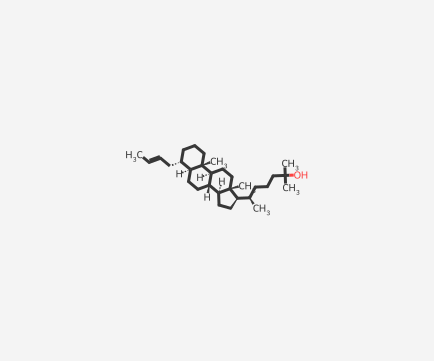 C/C=C/C[C@@H]1CCC[C@@]2(C)[C@H]1CC[C@@H]1[C@@H]2CC[C@]2(C)[C@@H]([C@H](C)CCCC(C)(C)O)CC[C@@H]12